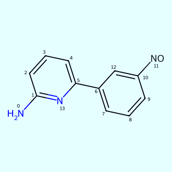 Nc1cccc(-c2cccc(N=O)c2)n1